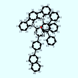 c1ccc(-c2ccc(-n3c4ccccc4c4ccc5c6ccccc6n(-c6nc(-c7ccccc7)nc(-c7ccc(-c8ccc9ccccc9c8)cc7)n6)c5c43)c(-c3ccccc3)c2)cc1